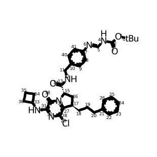 CC(C)(C)OC(=O)NC=Nc1ccc(CNC(=O)[C@@H]2C[C@@H](CCCc3ccccc3)c3c(Cl)nc(NC4CCC4)c(=O)n32)cc1